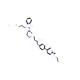 COCCCn1c([C@@H]2CCCN(C(=O)C[C@H](N)Cc3ccc(-c4ccc(C(=O)NCCO)nc4)cc3)C2)nc2ccccc21